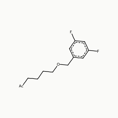 CC(=O)CCCCOCc1cc(F)cc(F)c1